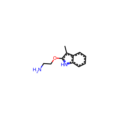 Cc1c(OCCN)[nH]c2ccccc12